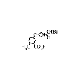 Cc1ccc(OC2CN(C(=O)OC(C)(C)C)C2)cc1C(=O)O